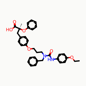 CCOc1ccc(NC(=O)N(CCCOc2ccc(C[C@](C)(Oc3ccccc3)C(=O)O)cc2)Cc2ccccc2)cc1